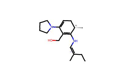 CC/C(C)=C\NC1=C(CO)C(N2CCCC2)=CC[C@@H]1C